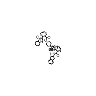 O=C(NC1Cc2ccccc2C1)c1nccnc1NS(=O)(=O)C1CCC(OC(=O)c2nccnc2NC(=O)C2CCCCC2)CC1